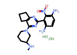 CNC1CCCN(c2nc(-c3c(N)ccc(N)c3[N+](=O)[O-])nc3c2CCC3)C1.Cl.Cl